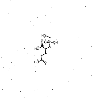 NCP(=O)(O)CC(CCC(=O)O)C(=O)O